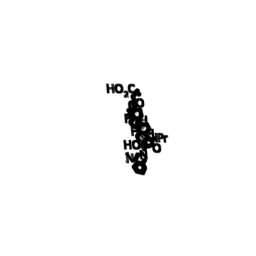 CC(C)C1=C2[C@H]3CC[C@H]4[C@@H](CC[C@H]5C(C)(C)[C@@H](OC(=O)CC(C)(C)C(=O)O)CC[C@]45C)[C@]3(C)CC[C@@]2([C@@H](O)CN(CCN(C)C)Cc2ccccc2)CC1=O